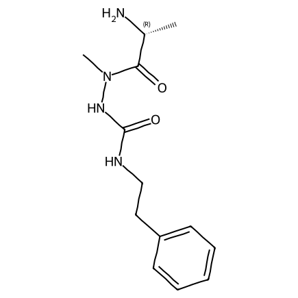 C[C@@H](N)C(=O)N(C)NC(=O)NCCc1ccccc1